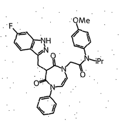 COc1ccc(N(C(=O)CN2C=CN(c3ccccc3)C(=O)C(Cc3n[nH]c4cc(F)ccc34)C2=O)C(C)C)cc1